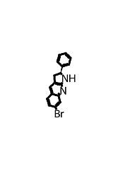 Brc1ccc2cc3c(nc2c1)N[C@H](c1ccccc1)C3